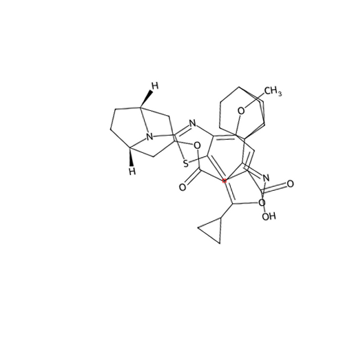 COc1cc(C(=O)O)cc2sc(N3[C@@H]4CC[C@H]3CC(OC(=O)c3c(C56CCC(CC5)CC6)noc3C3CC3)C4)nc12